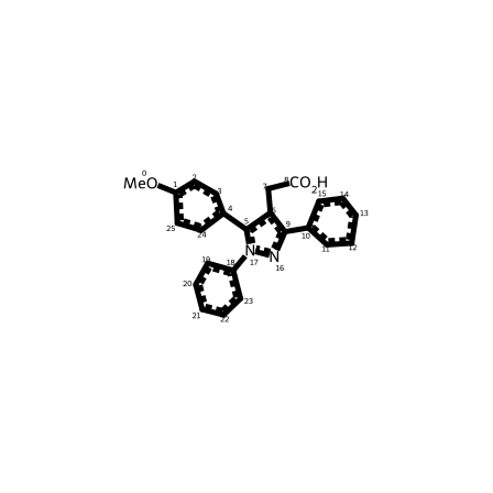 COc1ccc(-c2c(CC(=O)O)c(-c3ccccc3)nn2-c2ccccc2)cc1